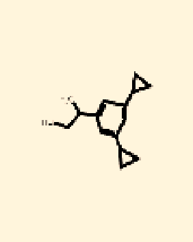 C[C](CO)c1cc(C2CC2)cc(C2CC2)c1